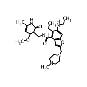 CCNc1cc2oc(CN3CCN(C)CC3)cc2c(C(=O)NCC2C(=O)NC(C)=CC2OC)c1CC